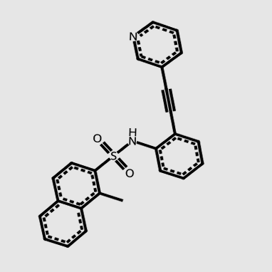 Cc1c(S(=O)(=O)Nc2ccccc2C#Cc2cccnc2)ccc2ccccc12